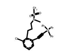 CC(C)[Si](C#Cc1cccc(Cl)c1CCCN(C)S(=O)(=O)C(F)(F)F)(C(C)C)C(C)C